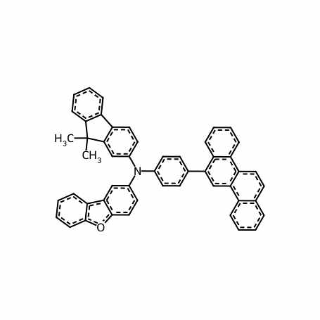 CC1(C)c2ccccc2-c2ccc(N(c3ccc(-c4cc5c6ccccc6ccc5c5ccccc45)cc3)c3ccc4oc5ccccc5c4c3)cc21